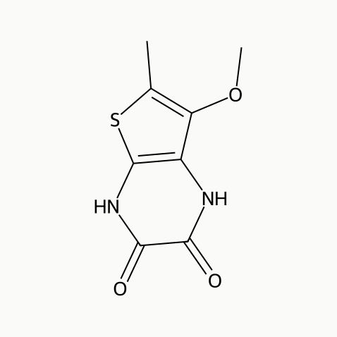 COc1c(C)sc2[nH]c(=O)c(=O)[nH]c12